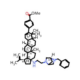 C=C(C)[C@@H]1CC[C@]2(NCCN3C[C@@H]4CC3CN4Cc3ccccc3)CC[C@]3(C)[C@H](CC[C@@H]4[C@@]5(C)CC=C(c6ccc(C(=O)OC)cc6)C(C)(C)[C@@H]5CC[C@]43C)[C@@H]12